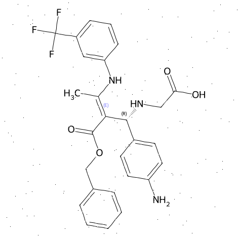 C/C(Nc1cccc(C(F)(F)F)c1)=C(\C(=O)OCc1ccccc1)[C@H](NCC(=O)O)c1ccc(N)cc1